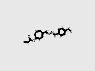 C=CC(=O)OC1=CC=C(/C=N/N=C/c2ccc(CC)cc2)C=CC1